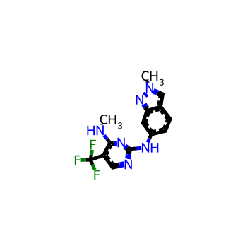 CNc1nc(Nc2ccc3cn(C)nc3c2)ncc1C(F)(F)F